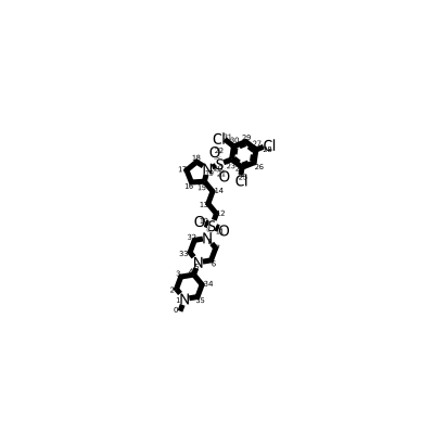 CN1CCC(N2CCN(S(=O)(=O)CCCC3CCCN3S(=O)(=O)c3c(Cl)cc(Cl)cc3Cl)CC2)CC1